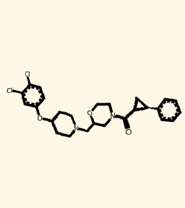 O=C(C1C[C@H]1c1ccccc1)N1CCOC(CN2CCC(Oc3ccc(Cl)c(Cl)c3)CC2)C1